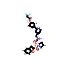 O=C(NCc1ccnc(-c2ccc(OCC(F)(F)F)cc2)c1)[C@@H]1CCCN1S(=O)(=O)c1cc2ccccc2o1